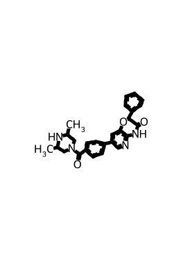 CC1CN(C(=O)c2ccc(-c3cnc4c(c3)OC(c3ccccc3)C(=O)N4)cc2)CC(C)N1